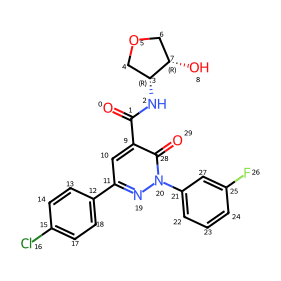 O=C(N[C@@H]1COC[C@@H]1O)c1cc(-c2ccc(Cl)cc2)nn(-c2cccc(F)c2)c1=O